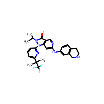 CC(C)n1c(=O)c2cnc(Nc3ccc4c(c3)CNCC4)cc2n1-c1cccc(C(C)(C)C(F)(F)F)n1